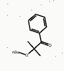 CCCCOC(C)(C)C(=O)c1ccccc1